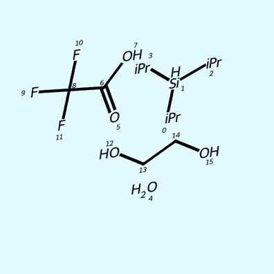 CC(C)[SiH](C(C)C)C(C)C.O.O=C(O)C(F)(F)F.OCCO